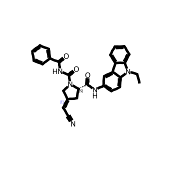 CCn1c2ccccc2c2cc(NC(=O)[C@@H]3C/C(=C\C#N)CN3C(=O)NC(=O)c3ccccc3)ccc21